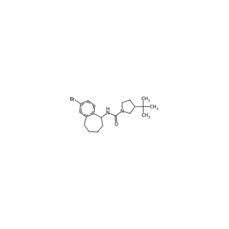 CC(C)(C)C1CCN(C(=O)NC2CCCCc3cc(Br)ccc32)C1